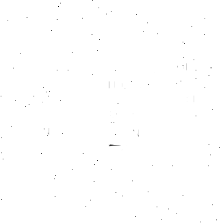 Cc1cc(O)c(Cl)cc1C(=O)N1CCC[C@H]1c1ccc(CN2CCC(F)(F)C2)cc1